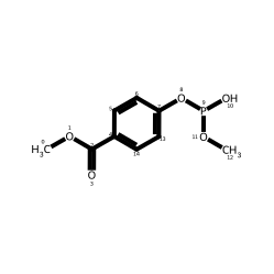 COC(=O)c1ccc(OP(O)OC)cc1